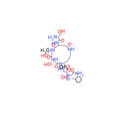 CC(O)[C@@H]1NC(=O)[C@@H](NC(=O)[C@@H](N)CO)CCC(=O)NCCCC[C@@H](C(=O)N[C@@H](CO)C(=O)N[C@@H](Cc2ccccc2)C(N)=O)N(C)C(=O)[C@H](CO)NC1=O